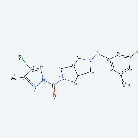 CC(=O)c1nn(C(=O)N2CC3CN(Cc4cc(C)cc(Cl)c4)CC3C2)cc1Cl